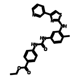 CCOC(=O)c1ccc(NC(=O)Nc2ccc(C)c(Nc3nc(-c4cccnc4)cs3)c2)cc1